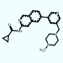 CN1CCN(Cc2cncc(-c3ccc4cnc(NC(=O)C5CC5)cc4c3)c2)CC1